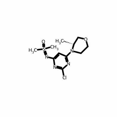 C[C@@H]1COCCN1c1cc(N=S(C)(C)=O)nc(Cl)n1